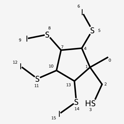 CC1(CS)C(SI)C(SI)C(SI)C1SI